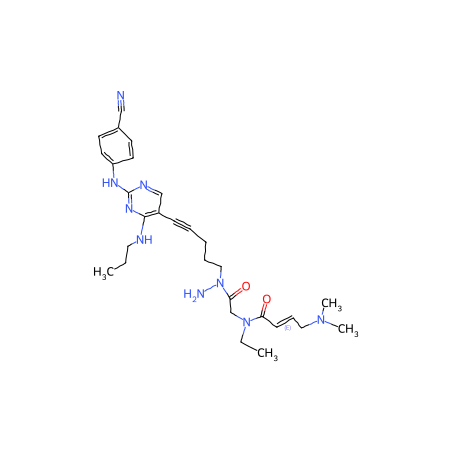 CCCNc1nc(Nc2ccc(C#N)cc2)ncc1C#CCCCN(N)C(=O)CN(CC)C(=O)/C=C/CN(C)C